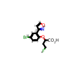 O=C(O)C(CCF)Oc1ccc(Br)cc1-c1ccon1